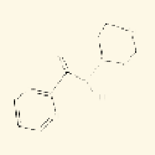 O=C(c1ncccn1)N(O)N1CCNCC1